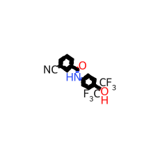 N#Cc1cccc(C(=O)Nc2ccc(C(O)(C(F)(F)F)C(F)(F)F)cc2)c1